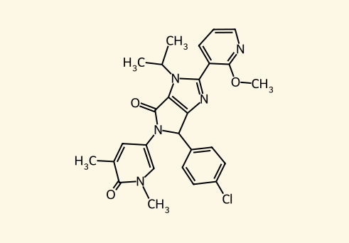 COc1ncccc1-c1nc2c(n1C(C)C)C(=O)N(c1cc(C)c(=O)n(C)c1)C2c1ccc(Cl)cc1